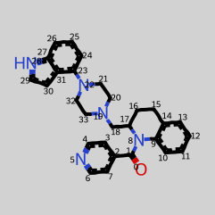 O=C(c1ccncc1)N1c2ccccc2CCC1CN1CCN(c2cccc3[nH]ccc23)CC1